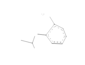 COc1ccc[c]c1OC(F)F